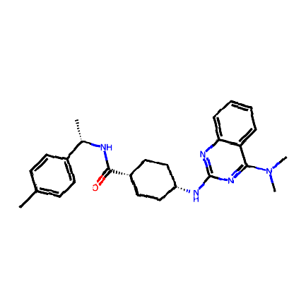 Cc1ccc([C@H](C)NC(=O)[C@H]2CC[C@@H](Nc3nc(N(C)C)c4ccccc4n3)CC2)cc1